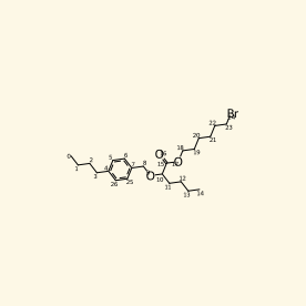 CCCCc1ccc(COC(CCCC)C(=O)OCCCCCCBr)cc1